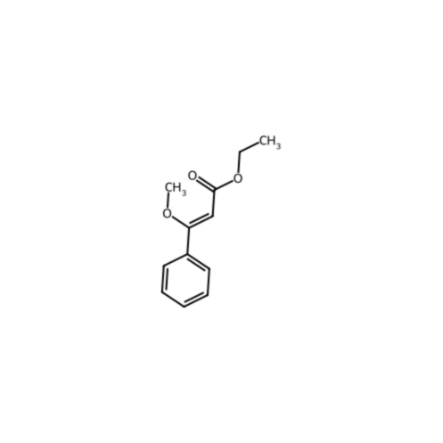 CCOC(=O)C=C(OC)c1ccccc1